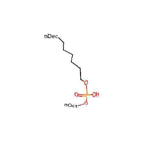 CCCCCCCCCCCCCCCCOP(=O)(O)OCCCCCCCC